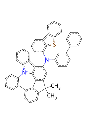 CC1(C)c2cccc3c2-c2c1cc(N(c1cccc(-c4ccccc4)c1)c1cccc4c1sc1ccccc14)c1c4ccccc4n(c21)-c1ccccc1-3